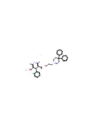 COC(=O)C1=C(C)NC(C)=C(C(=O)OCCCN2CCC(c3ccccc3)(c3ccccc3)CC2)C1c1ccccc1Cl.Cl